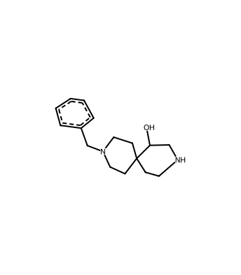 OC1CNCCC12CCN(Cc1ccccc1)CC2